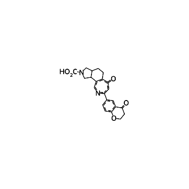 O=C1CCOc2ccc(-c3cc(=O)c4c(cn3)C3CN(C(=O)O)CC3CC4)cc21